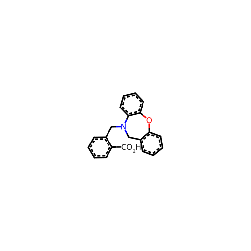 O=C(O)c1ccccc1CN1Cc2ccccc2Oc2ccccc21